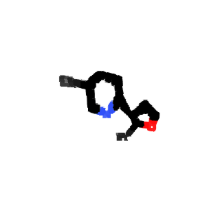 CCc1ccc(-c2ccoc2C(C)C)nc1